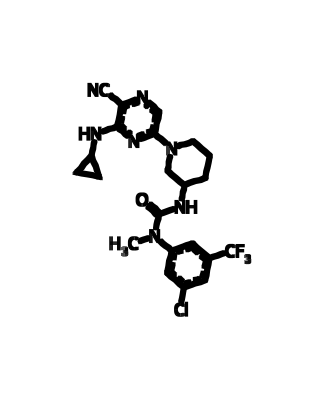 CN(C(=O)NC1CCCN(c2cnc(C#N)c(NC3CC3)n2)C1)c1cc(Cl)cc(C(F)(F)F)c1